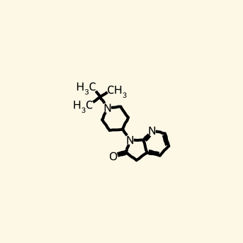 CC(C)(C)N1CCC(N2C(=O)Cc3cccnc32)CC1